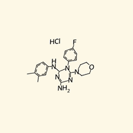 Cc1ccc(NC2N=C(N)N=C(N3CCOCC3)N2c2ccc(F)cc2)cc1C.Cl